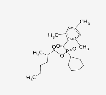 CCCCC(C)C(=O)OP(=O)(C(=O)c1c(C)cc(C)cc1C)C1CCCCC1